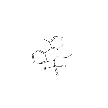 CCCN(c1ccccc1-c1ccccc1C)P(=O)(O)S